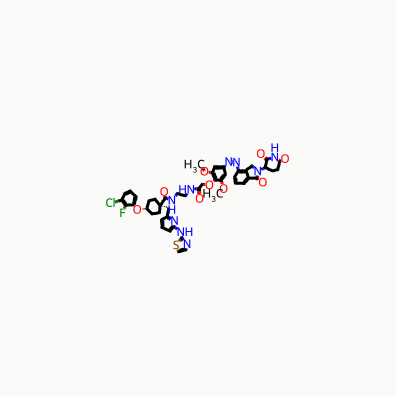 COc1cc(/N=N\c2cccc3c2CN(C2CCC(=O)NC2=O)C3=O)cc(OC)c1OCC(=O)NCCNC(=O)[C@]1(Cc2cccc(Nc3nccs3)n2)CC[C@@H](Oc2cccc(Cl)c2F)CC1